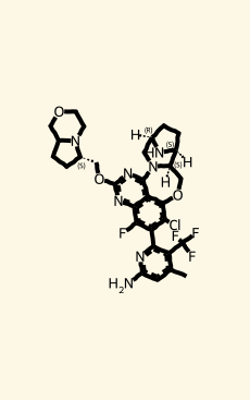 Cc1cc(N)nc(-c2c(Cl)c3c4c(nc(OC[C@@H]5CCC6COCCN65)nc4c2F)N2C[C@H]4CC[C@H](N4)[C@H]2CO3)c1C(F)(F)F